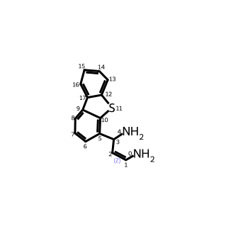 N/C=C\C(N)c1cccc2c1sc1ccccc12